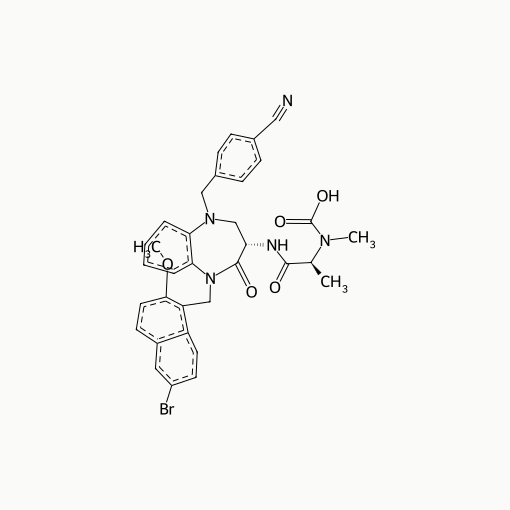 COc1ccc2cc(Br)ccc2c1CN1C(=O)[C@@H](NC(=O)[C@H](C)N(C)C(=O)O)CN(Cc2ccc(C#N)cc2)c2ccccc21